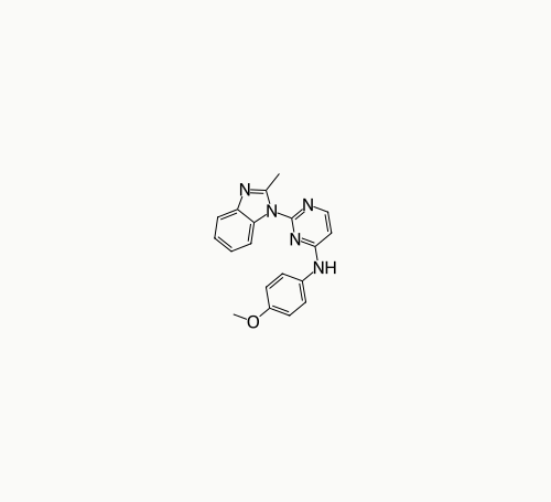 COc1ccc(Nc2ccnc(-n3c(C)nc4ccccc43)n2)cc1